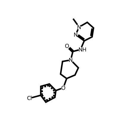 CN1CC=CC(NC(=O)N2CCC(Oc3ccc(Cl)cc3)CC2)=N1